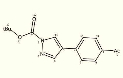 CC(=O)c1ccc(-c2cnn(C(=O)OC(C)(C)C)c2)cc1